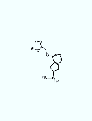 CCCN(CCC)C1Cc2cccc(OCC(OCC)OCC)c2C1